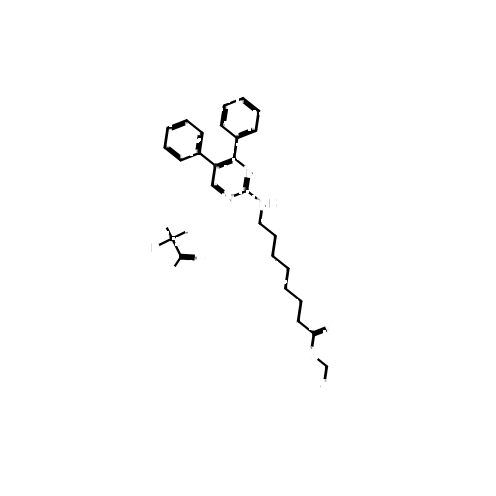 CCOC(=O)CCCCCCCNc1ncc(-c2ccccc2)c(-c2ccccc2)n1.O=C(O)C(F)(F)F